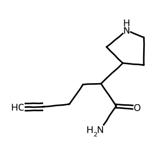 C#CCCC(C(N)=O)C1CCNC1